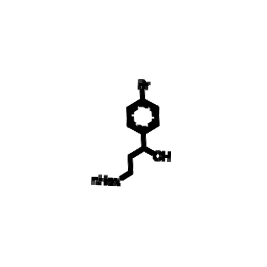 CCCCCCCCC(O)c1ccc(Br)cc1